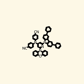 N#Cc1ccc(N(c2ccc(C#N)cc2)c2cc(N3c4ccccc4Oc4ccccc43)nc(-n3c4ccc(-c5ccccc5)cc4c4cc(-c5ccccc5)ccc43)c2)cc1